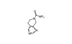 NC(=O)N1CCc2cncnc2C1